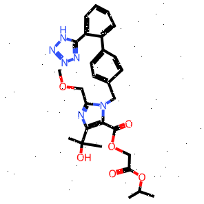 COCc1nc(C(C)(C)O)c(C(=O)OCC(=O)OC(C)C)n1Cc1ccc(-c2ccccc2-c2nnn[nH]2)cc1